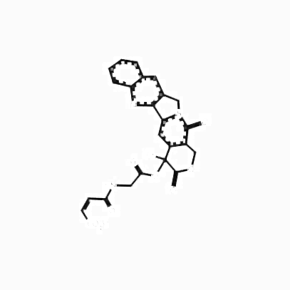 CCC1(OC(=O)CNC(=O)/C=C\C(=O)O)C(=O)OCc2c1cc1n(c2=O)Cc2cc3ccccc3nc2-1